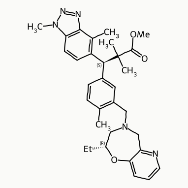 CC[C@@H]1CN(Cc2cc([C@@H](c3ccc4c(nnn4C)c3C)C(C)(C)C(=O)OC)ccc2C)Cc2ncccc2O1